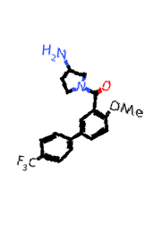 COc1ccc(-c2ccc(C(F)(F)F)cc2)cc1C(=O)N1CCC(N)C1